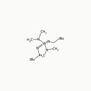 C[N](C)[W](=[N]CC(C)(C)C)(=[N]CC(C)(C)C)[N](C)C